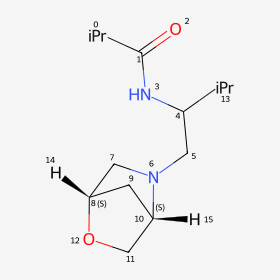 CC(C)C(=O)NC(CN1C[C@@H]2C[C@H]1CO2)C(C)C